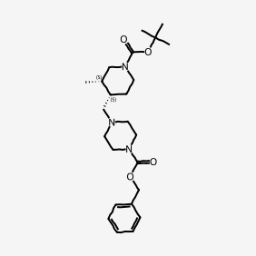 C[C@@H]1CN(C(=O)OC(C)(C)C)CC[C@@H]1CN1CCN(C(=O)OCc2ccccc2)CC1